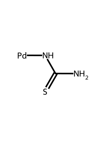 NC(=S)[NH][Pd]